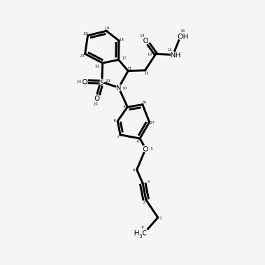 CCC#CCOc1ccc(N2C(CC(=O)NO)c3ccccc3S2(=O)=O)cc1